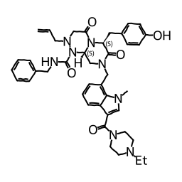 C=CCN1CC(=O)N2[C@@H](Cc3ccc(O)cc3)C(=O)N(Cc3cccc4c(C(=O)N5CCN(CC)CC5)cn(C)c34)C[C@@H]2N1C(=O)NCc1ccccc1